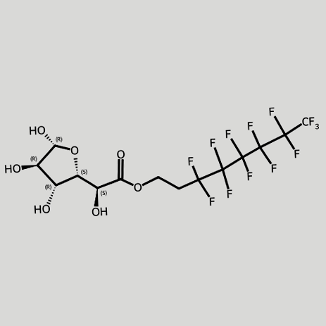 O=C(OCCC(F)(F)C(F)(F)C(F)(F)C(F)(F)C(F)(F)C(F)(F)F)[C@@H](O)[C@H]1O[C@@H](O)[C@H](O)[C@H]1O